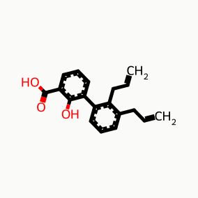 C=CCc1cccc(-c2cccc(C(=O)O)c2O)c1CC=C